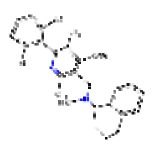 CCc1cccc(CC)c1-c1nc(C)c(CN(C)C2CCCc3ccccc32)c(OC)c1C